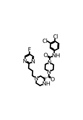 O=C(Nc1ccc(Cl)c(Cl)c1)N1CCN(C(=O)[C@H]2CN(CCCc3ncc(F)cn3)CCN2)CC1